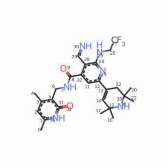 Cc1cc(C)c(CNC(=O)c2cc(C3=CC(C)(C)NC(C)(C)C3)nc(NCC(F)(F)F)c2C=N)c(=O)[nH]1